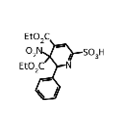 CCOC(=O)C1=CC(S(=O)(=O)O)=NC(c2ccccc2)C1(C(=O)OCC)[N+](=O)[O-]